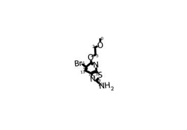 COCCOc1nc2sc(N)nc2cc1Br